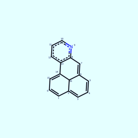 C1=CC2=CC=CC3=Cc4ncccc4C(=C1)C23